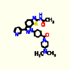 CC(=O)Nc1nc2c(s1)-c1c(c(-c3cccnc3)nn1C1CCC(C(=O)N3CCC(N(C)C)CC3)CC1)CC2